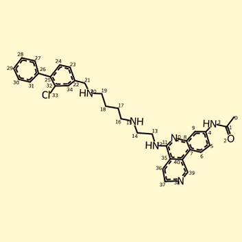 CC(=O)Nc1ccc2c(c1)nc(NCCNCCCCNCc1ccc(-c3ccccc3)c(Cl)c1)c1ccncc12